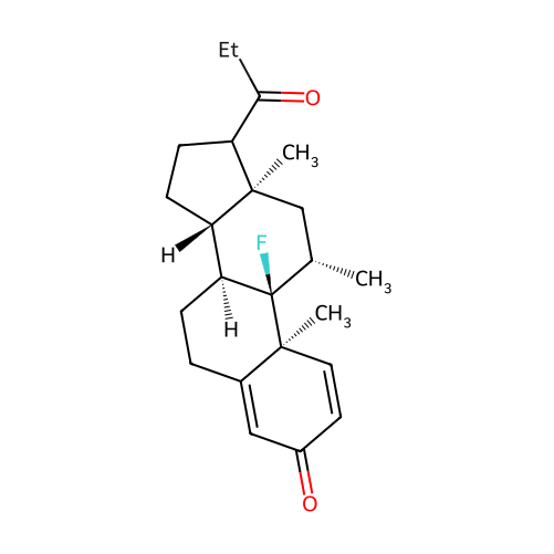 CCC(=O)C1CC[C@H]2[C@@H]3CCC4=CC(=O)C=C[C@]4(C)[C@@]3(F)[C@@H](C)C[C@]12C